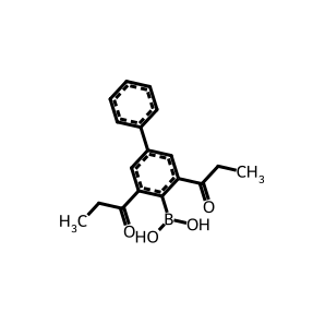 CCC(=O)c1cc(-c2ccccc2)cc(C(=O)CC)c1B(O)O